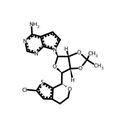 CC1(C)O[C@H]2[C@@H](O1)[C@H](n1ccc3c(N)ncnc31)O[C@@H]2[C@@H]1OCCc2cc(Cl)sc21